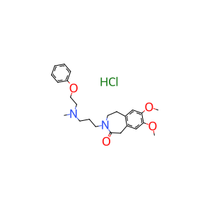 COc1cc2c(cc1OC)CC(=O)N(CCCN(C)CCOc1ccccc1)CC2.Cl